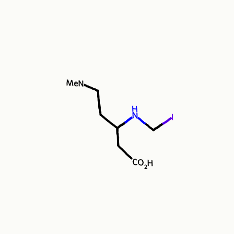 CNCCC(CC(=O)O)NCI